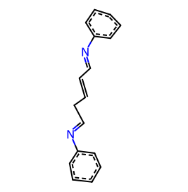 C(=CCC=Nc1ccccc1)C=Nc1ccccc1